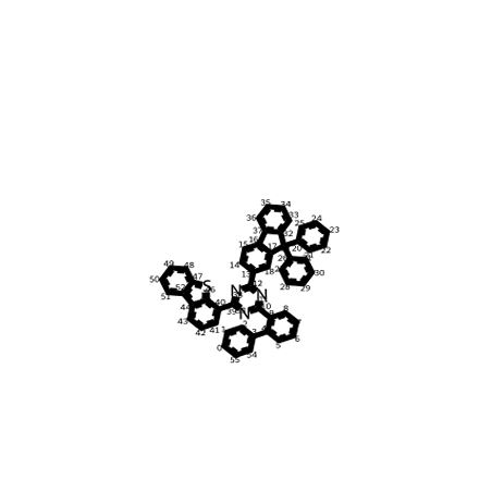 c1ccc(-c2ccccc2-c2nc(-c3ccc4c(c3)C(c3ccccc3)(c3ccccc3)c3ccccc3-4)nc(-c3cccc4c3sc3ccccc34)n2)cc1